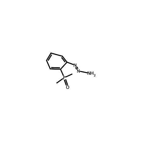 CP(C)(=O)c1ccccc1N=NN